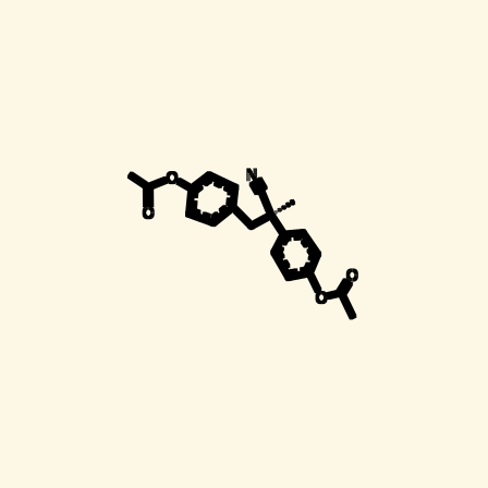 CC(=O)Oc1ccc(C[C@@](C)(C#N)c2ccc(OC(C)=O)cc2)cc1